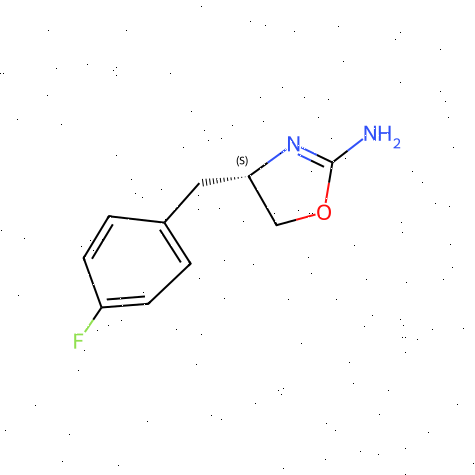 NC1=N[C@@H](Cc2ccc(F)cc2)CO1